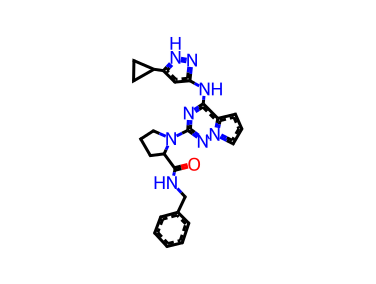 O=C(NCc1ccccc1)C1CCCN1c1nc(Nc2cc(C3CC3)[nH]n2)c2cccn2n1